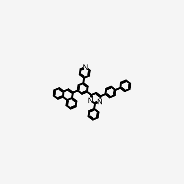 c1ccc(-c2ccc(-c3cc(-c4cc(-c5ccncc5)cc(-c5cc6ccccc6c6ccccc56)c4)nc(-c4ccccc4)n3)cc2)cc1